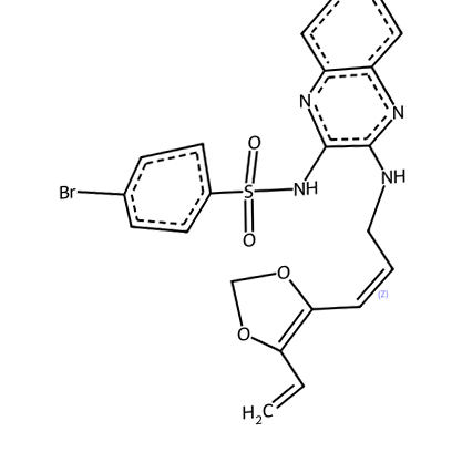 C=CC1=C(/C=C\CNc2nc3ccccc3nc2NS(=O)(=O)c2ccc(Br)cc2)OCO1